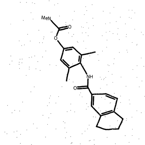 CNC(=O)Oc1cc(C)c(NC(=O)c2ccc3c(c2)CCCC3)c(C)c1